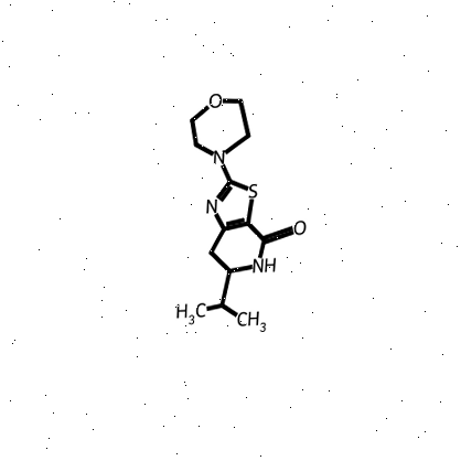 CC(C)C1Cc2nc(N3CCOCC3)sc2C(=O)N1